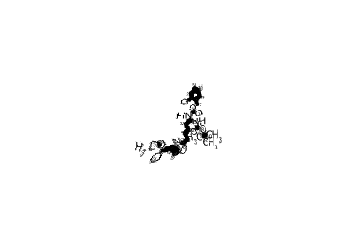 COC(=O)c1coc(CCCCC(NC(=O)OCc2ccccc2Cl)NC(=O)OC(C)(C)C)n1